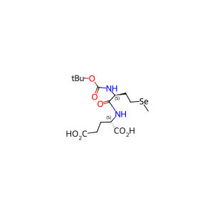 C[Se]CC[C@H](NC(=O)OC(C)(C)C)C(=O)N[C@@H](CCC(=O)O)C(=O)O